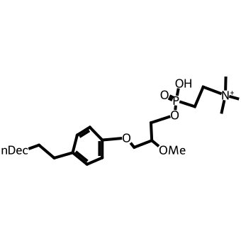 CCCCCCCCCCCCc1ccc(OCC(COP(=O)(O)CC[N+](C)(C)C)OC)cc1